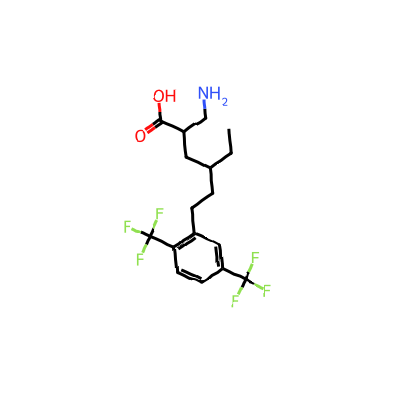 CCC(CCc1cc(C(F)(F)F)ccc1C(F)(F)F)CC(CN)C(=O)O